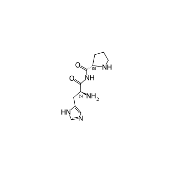 N[C@@H](Cc1cnc[nH]1)C(=O)NC(=O)[C@@H]1CCCN1